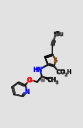 C[C@@H](COc1ccccn1)Nc1cc(C#CC(C)(C)C)sc1C(=O)O